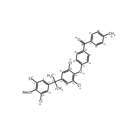 COc1c(Cl)cc(C(C)(C)c2cc(Cl)c(Oc3ccc(C(=O)c4ccc(C)cc4)cc3)c(Cl)c2)cc1Cl